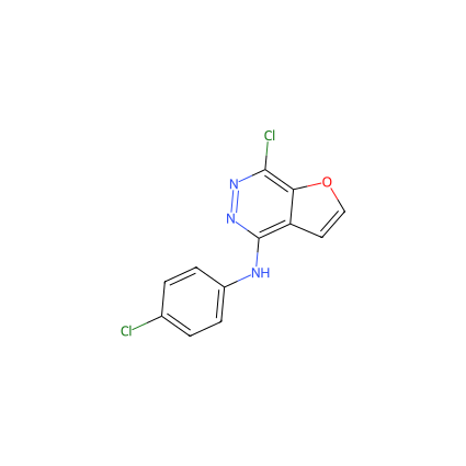 Clc1ccc(Nc2nnc(Cl)c3occc23)cc1